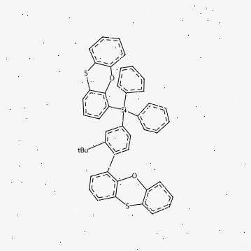 CC(C)(C)c1cc([Si](c2ccccc2)(c2ccccc2)c2cccc3c2Oc2ccccc2S3)ccc1-c1cccc2c1Oc1ccccc1S2